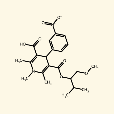 COCC(OC(=O)C1=C(C)N(C)C(C)=C(C(=O)O)C1c1cccc([N+](=O)[O-])c1)C(C)C